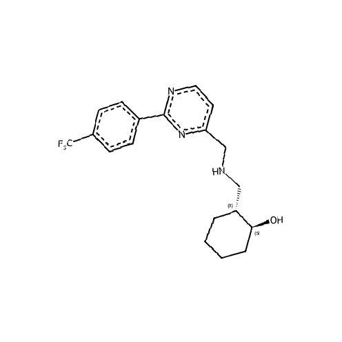 O[C@H]1CCCC[C@@H]1CNCc1ccnc(-c2ccc(C(F)(F)F)cc2)n1